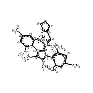 Cc1cc(C)c(-n2c(C)c(C)n(-c3c(C)cc(C)cc3C)[c]2=[Ru-4]([Cl])([Cl])=[CH]c2cccs2)c(C)c1